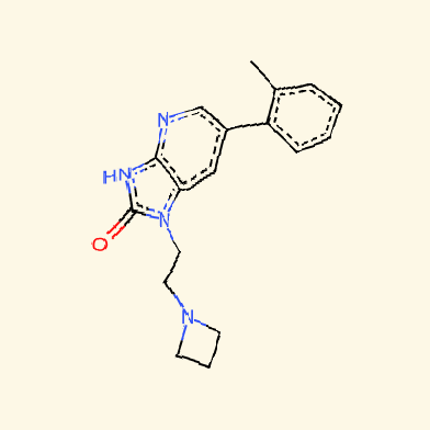 Cc1ccccc1-c1cnc2[nH]c(=O)n(CCN3CCC3)c2c1